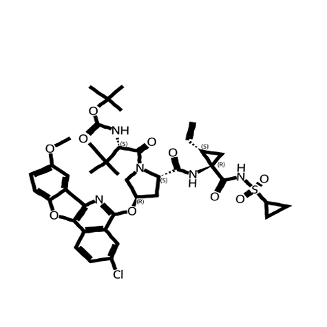 C=C[C@@H]1C[C@]1(NC(=O)[C@@H]1C[C@@H](Oc2nc3c4cc(OC)ccc4oc3c3ccc(Cl)cc23)CN1C(=O)[C@@H](NC(=O)OC(C)(C)C)C(C)(C)C)C(=O)NS(=O)(=O)C1CC1